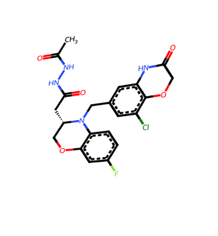 CC(=O)NNC(=O)C[C@H]1COc2cc(F)ccc2N1Cc1cc(Cl)c2c(c1)NC(=O)CO2